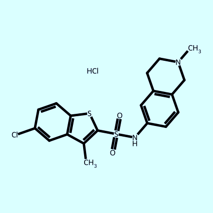 Cc1c(S(=O)(=O)Nc2ccc3c(c2)CCN(C)C3)sc2ccc(Cl)cc12.Cl